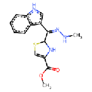 CN/N=C(/c1c[nH]c2ccccc12)C1NC(C(=O)OC)=CS1